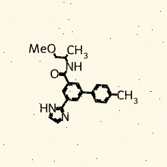 COCC(C)NC(=O)c1cc(-c2ccc(C)cc2)cc(-c2ncc[nH]2)c1